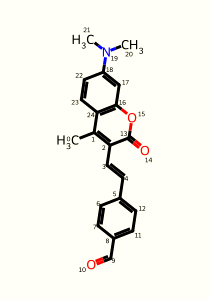 Cc1c(/C=C/c2ccc(C=O)cc2)c(=O)oc2cc(N(C)C)ccc12